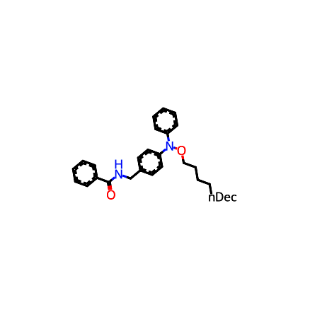 CCCCCCCCCCCCCCON(c1ccccc1)c1ccc(CNC(=O)c2ccccc2)cc1